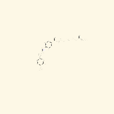 CCNc1ccc(N/N=C/c2ccc(C(=O)NCCSSCCC(=O)NC)cc2)nc1